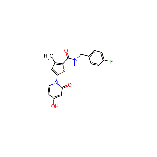 Cc1cc(-n2ccc(O)cc2=O)sc1C(=O)NCc1ccc(F)cc1